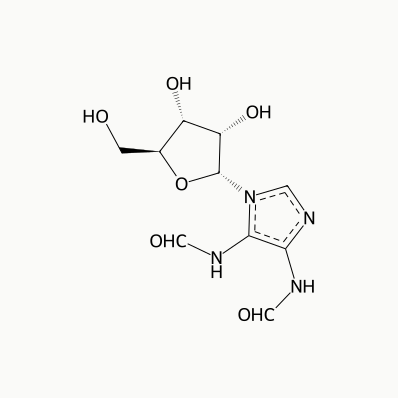 O=CNc1ncn([C@@H]2O[C@@H](CO)[C@H](O)[C@@H]2O)c1NC=O